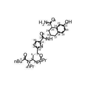 CCCCC(=O)N(CCC)C(C[C@@H](OCCC)c1nc(C(=O)N[C@H]2Cc3ccc(O)cc3[C@H](C(N)=O)C2)cs1)C(C)C